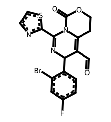 O=CC1=C2CCOC(=O)N2C(c2nccs2)=NC1c1ccc(F)cc1Br